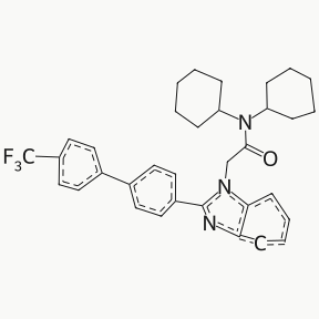 O=C(Cn1c(-c2ccc(-c3ccc(C(F)(F)F)cc3)cc2)nc2ccccc21)N(C1CCCCC1)C1CCCCC1